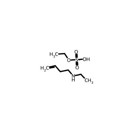 C=CCCNCC.CCOS(=O)(=O)O